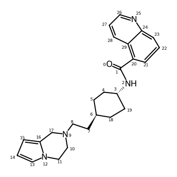 O=C(N[C@H]1CC[C@H](CCN2CCn3cccc3C2)CC1)c1cccc2ncccc12